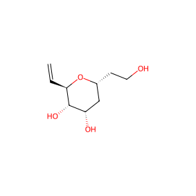 C=C[C@H]1O[C@H](CCO)C[C@H](O)[C@@H]1O